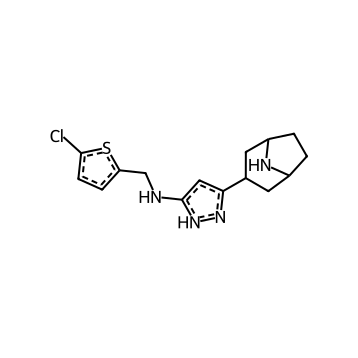 Clc1ccc(CNc2cc(C3CC4CCC(C3)N4)n[nH]2)s1